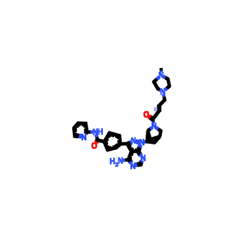 CN1CCN(C/C=C/C(=O)N2CC3CC2C(n2nc(-c4ccc(C(=O)Nc5ccccn5)cc4)c4c(N)ncnc42)C3)CC1